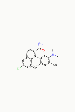 CN(C)c1cc(-c2c(C(N)=O)ccc3cc(Cl)ccc23)c(C(=O)O)cc1C#N